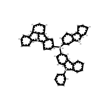 c1ccc(-n2c3ccccc3c3cc(N(c4ccc5c(c4)oc4ccccc45)c4ccc5c(c4)c4cccc6c7ccccc7n5c64)ccc32)cc1